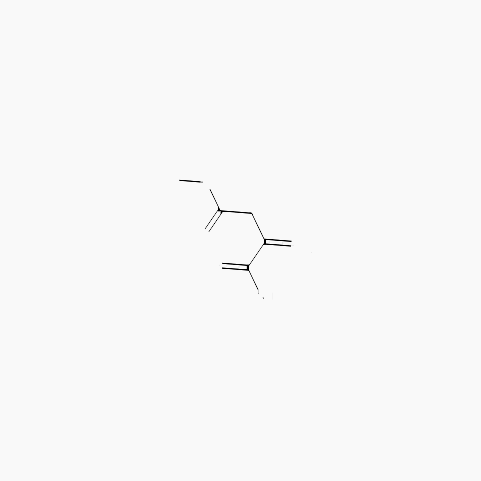 C=C(CC(=O)OCC)C(N)=O